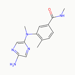 CNC(=O)c1ccc(C)c(N(C)c2cnc(N)cn2)c1